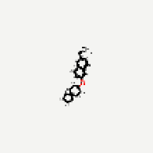 C=Cc1ccc2cc(OC3CCC4(CCCC4)CC3)ccc2c1